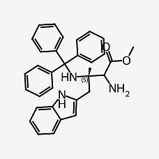 COC(=O)C(N)[C@](C)(Cc1cc2ccccc2[nH]1)NC(c1ccccc1)(c1ccccc1)c1ccccc1